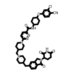 N#Cc1ccc(OC2CCC(NC(=O)c3ccc(N4CCC(CN5CCC(Cc6ccc7c(c6)CN(C6CCC(=O)NC6=O)C7=O)CC5)CC4)nn3)CC2)cc1Cl